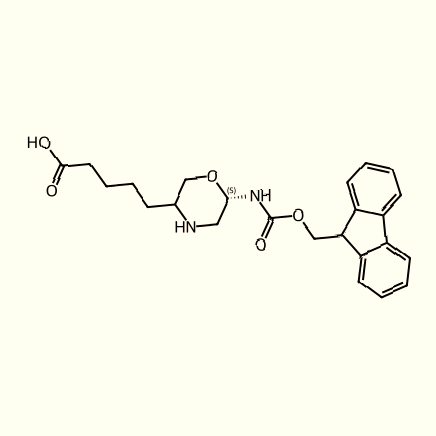 O=C(O)CCCCC1CO[C@H](NC(=O)OCC2c3ccccc3-c3ccccc32)CN1